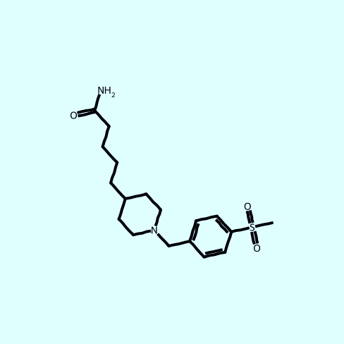 CS(=O)(=O)c1ccc(CN2CCC(CCCCC(N)=O)CC2)cc1